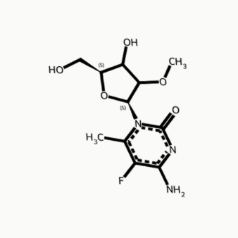 COC1C(O)[C@H](CO)O[C@@H]1n1c(C)c(F)c(N)nc1=O